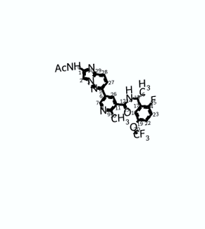 CC(=O)Nc1cn2nc(-c3cnc(C)c(C(=O)N[C@H](C)c4cc(OC(F)(F)F)ccc4F)c3)ccc2n1